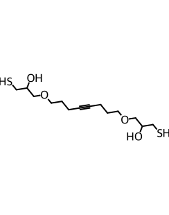 OC(CS)COCCCC#CCCCOCC(O)CS